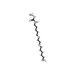 CC(C)(C)OC(=O)NCCCCCOCCOCCCCCN